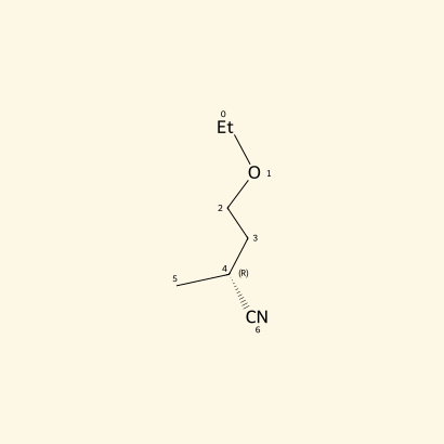 CCOCC[C@@H](C)C#N